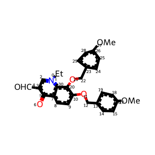 CCn1cc(C=O)c(=O)c2ccc(OCc3ccc(OC)cc3)c(OCc3ccc(OC)cc3)c21